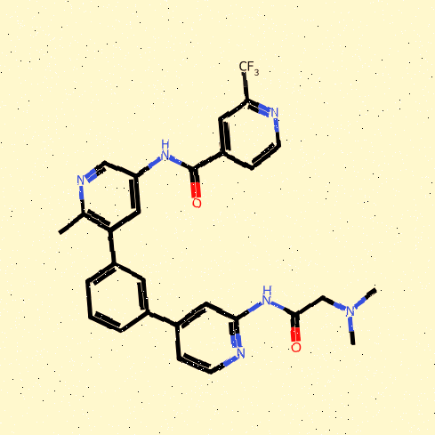 Cc1ncc(NC(=O)c2ccnc(C(F)(F)F)c2)cc1-c1cccc(-c2ccnc(NC(=O)CN(C)C)c2)c1